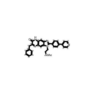 CNCCn1c(-c2ccc(-c3ccncc3)cc2)nc2cc3[nH]c(=O)c(Cc4ccccc4)nc3cc21